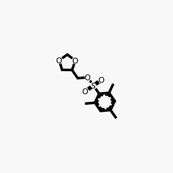 Cc1cc(C)c(S(=O)(=O)OCC2COCO2)c(C)c1